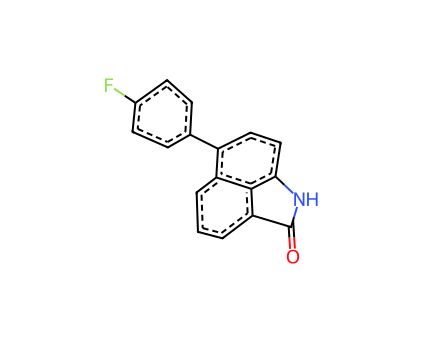 O=C1Nc2ccc(-c3ccc(F)cc3)c3cccc1c23